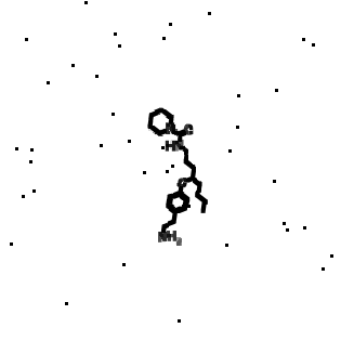 CCCCC(CCCNC(=O)N1CCCCC1)Oc1ccc(CCN)cc1